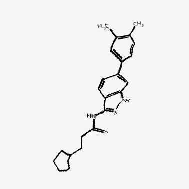 Cc1ccc(-c2ccc3c(NC(=O)CCC4CCCC4)n[nH]c3c2)cc1C